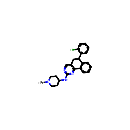 CCCN1CCC(Nc2ncc3c(n2)-c2ccccc2C(c2ccccc2Cl)C3)CC1